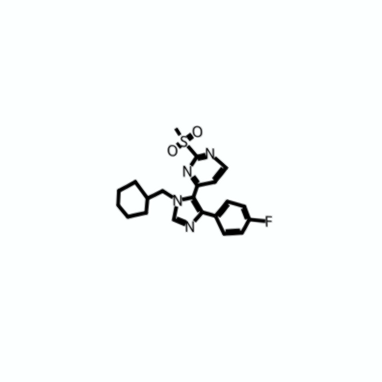 CS(=O)(=O)c1nccc(-c2c(-c3ccc(F)cc3)ncn2CC2CCCCC2)n1